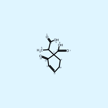 CC(C(=O)O)C1(C(=O)O)CCC=CC1=O